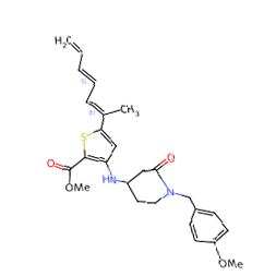 C=C/C=C/C=C(\C)c1cc(NC2CCN(Cc3ccc(OC)cc3)C(=O)C2)c(C(=O)OC)s1